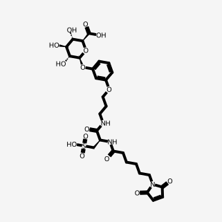 O=C(CCCCCN1C(=O)C=CC1=O)N[C@@H](CS(=O)(=O)O)C(=O)NCCCOc1cccc(O[C@@H]2O[C@H](C(=O)O)[C@@H](O)[C@H](O)[C@H]2O)c1